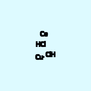 Cl.Cl.[Ce].[Cu]